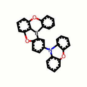 c1ccc2c(c1)Oc1cccc3c1B2c1cc(N2c4ccccc4Oc4ccccc42)ccc1O3